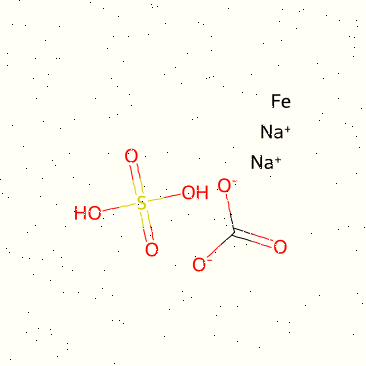 O=C([O-])[O-].O=S(=O)(O)O.[Fe].[Na+].[Na+]